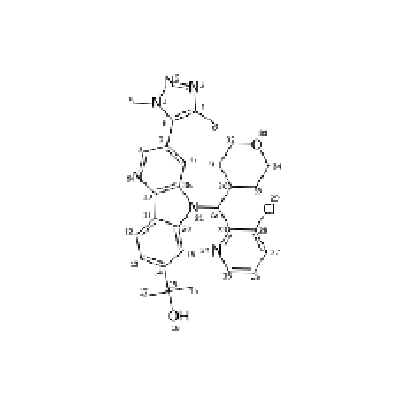 Cc1nnn(C)c1-c1cnc2c3ccc(C(C)(C)O)cc3n(C(c3ncccc3Cl)C3CCOCC3)c2c1